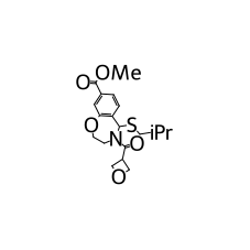 COC(=O)c1ccc2c(c1)OCCN(C(=O)C1COC1)C2SCC(C)C